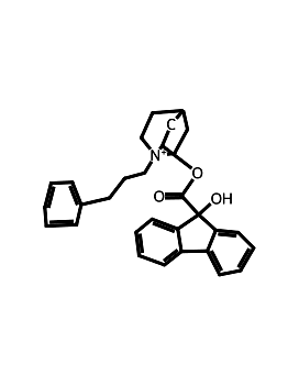 O=C(OC1CC2CC[N+]1(CCCc1ccccc1)CC2)C1(O)c2ccccc2-c2ccccc21